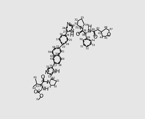 COC(=O)N[C@H](C(=O)N1CCC[C@H]1c1ncc(-c2ccc3cc(-c4ccc(-c5cnc([C@@H]6CCCN6C(=O)[C@H](NC(=O)CC6CCOCC6)c6ccccc6)[nH]5)cc4)ccc3c2)[nH]1)C(C)C